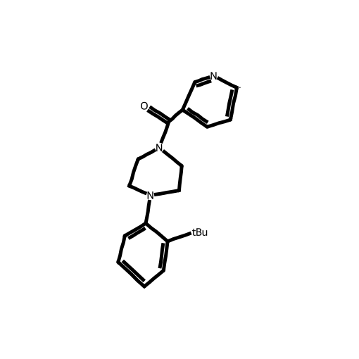 CC(C)(C)c1ccccc1N1CCN(C(=O)c2cc[c]nc2)CC1